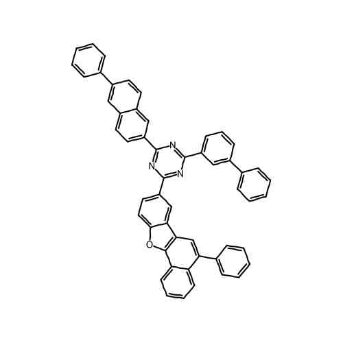 c1ccc(-c2cccc(-c3nc(-c4ccc5cc(-c6ccccc6)ccc5c4)nc(-c4ccc5oc6c7ccccc7c(-c7ccccc7)cc6c5c4)n3)c2)cc1